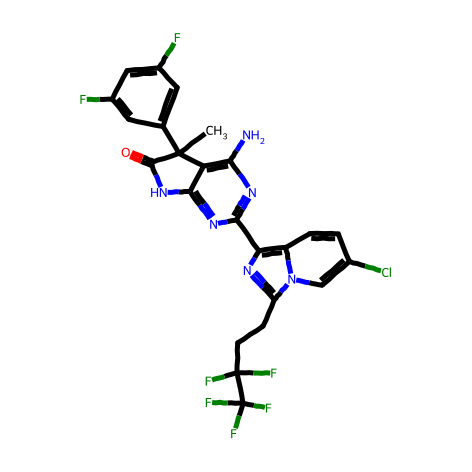 CC1(c2cc(F)cc(F)c2)C(=O)Nc2nc(-c3nc(CCC(F)(F)C(F)(F)F)n4cc(Cl)ccc34)nc(N)c21